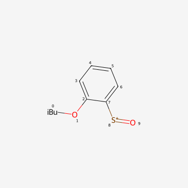 CCC(C)Oc1ccccc1[S+]=O